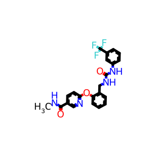 CNC(=O)c1ccc(Oc2ccccc2CNC(=O)Nc2cccc(C(F)(F)F)c2)nc1